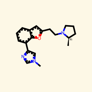 C[C@@H]1CCCN1CCc1cc2cccc(-c3cn(C)cn3)c2o1